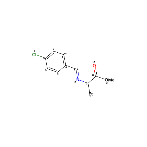 CCC(N=Cc1ccc(Cl)cc1)C(=O)OC